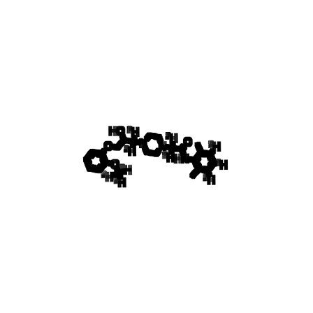 [2H]c1c([2H])c(C)c(NC(=O)C([2H])([2H])N2CCN(C([2H])([2H])C(O)COc3ccccc3OC([2H])([2H])[2H])CC2)c(C)c1[2H]